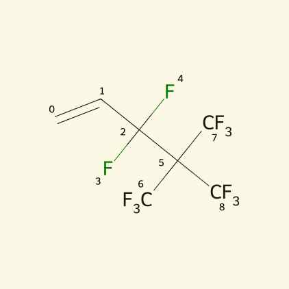 C=CC(F)(F)C(C(F)(F)F)(C(F)(F)F)C(F)(F)F